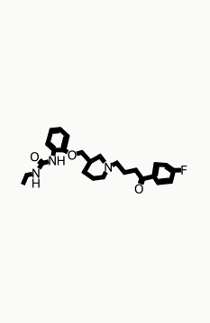 CCNC(=O)Nc1ccccc1OCC1CCCN(CCCC(=O)c2ccc(F)cc2)C1